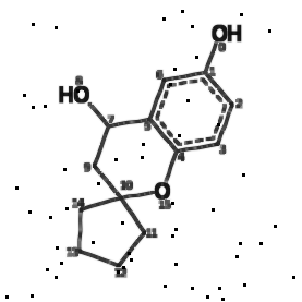 Oc1ccc2c(c1)C(O)CC1(CCCC1)O2